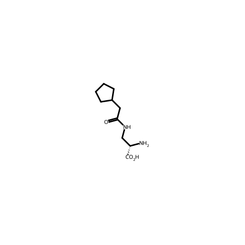 N[C@@H](CNC(=O)CC1CCCC1)C(=O)O